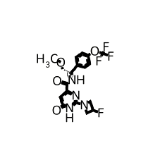 COC[C@@H](NC(=O)c1cc(=O)[nH]c(N2CC(F)C2)n1)c1ccc(OC(F)(F)F)cc1